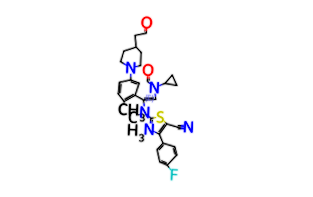 Cc1ccc(N2CCC(CC=O)CC2)cc1/C(=C\N(C=O)C1CC1)N(C)c1nc(-c2ccc(F)cc2)c(C#N)s1